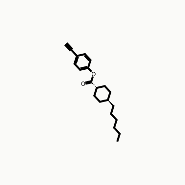 C#Cc1ccc(OC(=O)[C@H]2CC[C@H](CCCCCC)CC2)cc1